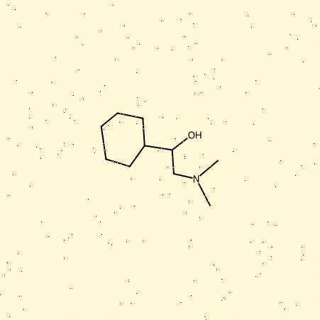 CN(C)CC(O)C1CCCCC1